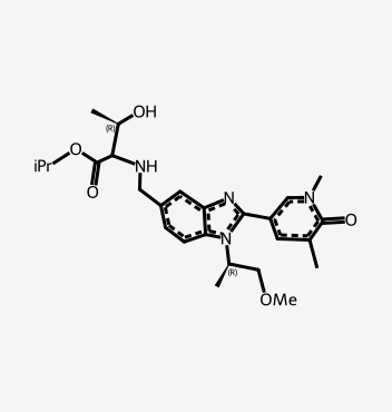 COC[C@@H](C)n1c(-c2cc(C)c(=O)n(C)c2)nc2cc(CNC(C(=O)OC(C)C)[C@@H](C)O)ccc21